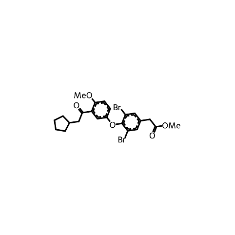 COC(=O)Cc1cc(Br)c(Oc2ccc(OC)c(C(=O)CC3CCCC3)c2)c(Br)c1